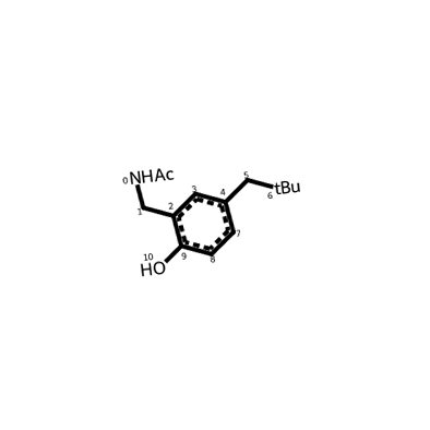 CC(=O)NCc1cc(CC(C)(C)C)ccc1O